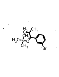 [CH2]C(C)C(O[Si](C)(C)C)c1cccc(Br)c1